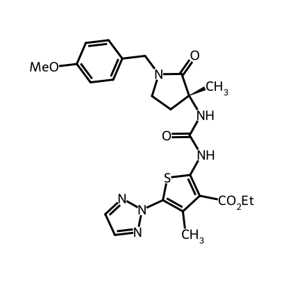 CCOC(=O)c1c(NC(=O)N[C@]2(C)CCN(Cc3ccc(OC)cc3)C2=O)sc(-n2nccn2)c1C